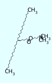 CCCCCCCCCCCCCCCCC(=CCCCC(=O)OCCCCN(C)C)CCCCCCCCCCCCCCCC